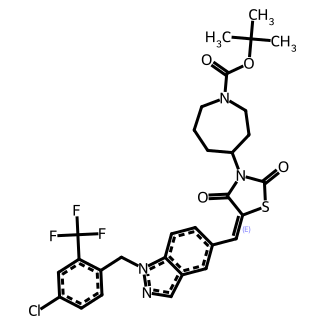 CC(C)(C)OC(=O)N1CCCC(N2C(=O)S/C(=C/c3ccc4c(cnn4Cc4ccc(Cl)cc4C(F)(F)F)c3)C2=O)CC1